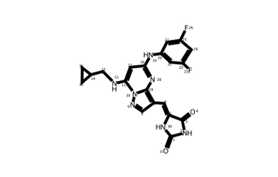 O=C1NC(=O)/C(=C/c2cnn3c(NCC4CC4)cc(Nc4cc(F)cc(F)c4)nc23)N1